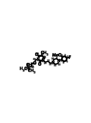 COc1cc(F)ccc1N1CCN(CCCn2nc(C)c(=O)n(COCC[Si](C)(C)C)c2=O)CC1